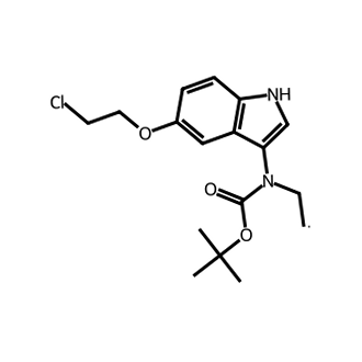 [CH2]CN(C(=O)OC(C)(C)C)c1c[nH]c2ccc(OCCCl)cc12